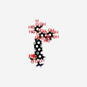 C/C=C(/C)C(=O)O[C@H]1C(COC(C)=O)[C@@]2(CO)C(CC1(C)C)C1=CCC3[C@@]4(C)CC[C@H](O[C@@H]5OC(C(=O)O)[C@@H](O[C@@H]6OC(CO)[C@@H](O)C(O)C6O)C(O)C5O[C@@H]5OC(CO)[C@@H](O)C(O)C5O)[C@](C)(CO)C4CC[C@@]3(C)[C@]1(C)C[C@H]2O